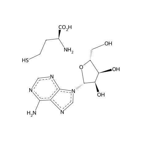 N[C@@H](CCS)C(=O)O.Nc1ncnc2c1ncn2[C@@H]1O[C@H](CO)[C@@H](O)[C@H]1O